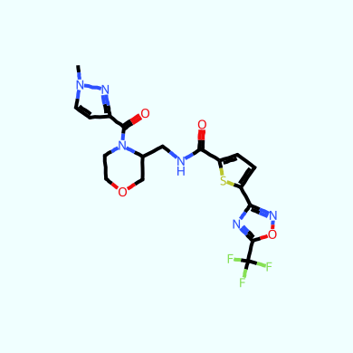 Cn1ccc(C(=O)N2CCOCC2CNC(=O)c2ccc(-c3noc(C(F)(F)F)n3)s2)n1